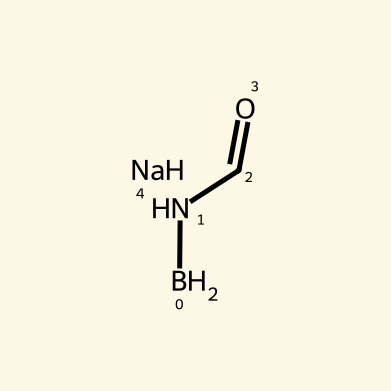 BNC=O.[NaH]